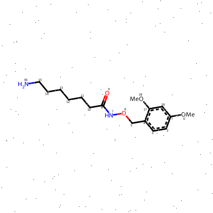 COc1ccc(CONC(=O)CCCCCCN)c(OC)c1